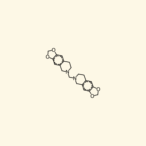 c1c2c(cc3c1OCO3)CN(CN1CCc3cc4c(cc3C1)OCO4)CC2